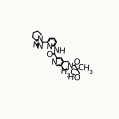 CC(C)(CO)C(=O)N1CCc2cnc(C(=O)Nc3cccc(-c4nnc5n4CCCC5)n3)cc2C1